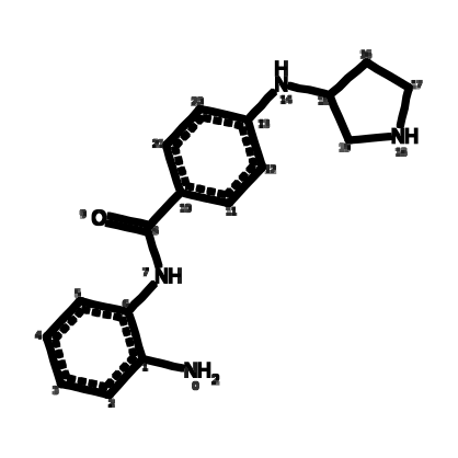 Nc1ccccc1NC(=O)c1ccc(NC2CCNC2)cc1